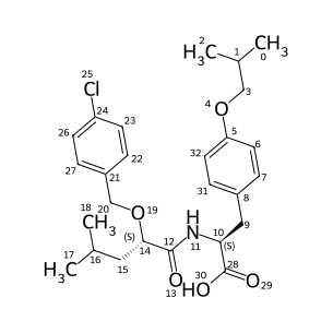 CC(C)COc1ccc(C[C@H](NC(=O)[C@H](CC(C)C)OCc2ccc(Cl)cc2)C(=O)O)cc1